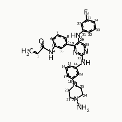 C=CC(=O)Nc1cccc(-c2nc(Nc3cccc(N4CCN(N)CC4)c3)ncc2Nc2cccc(F)c2)c1